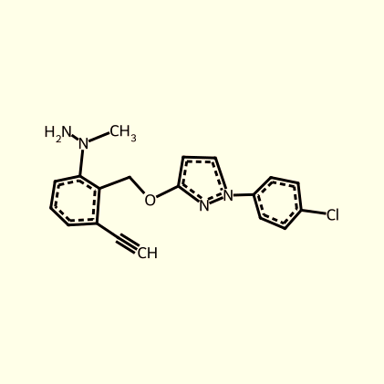 C#Cc1cccc(N(C)N)c1COc1ccn(-c2ccc(Cl)cc2)n1